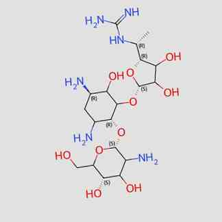 C[C@@H](NC(=N)N)[C@H]1O[C@@H](OC2C(O)[C@H](N)CC(N)[C@H]2O[C@H]2OC(CO)[C@@H](O)C(O)C2N)C(O)C1O